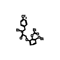 CCOc1cccc(OCC(=O)N(CC)Cc2ccc(C(F)(F)F)cc2)c1OC(=O)CC